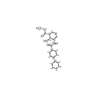 COC(=O)c1cccc(NC(=O)c2ccc(-c3ccccc3)cc2)c1O